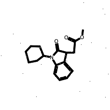 COC(=O)CC1C(=O)N(C2CCCCC2)c2ccccc21